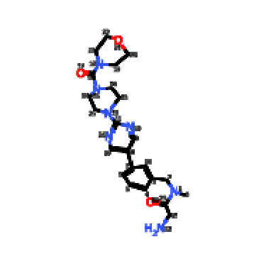 CN(Cc1cccc(-c2cnc(N3CCN(C(=O)N4CCOCC4)CC3)nc2)c1)C(=O)CN